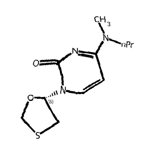 CCCN(C)c1ccn([C@@H]2CSCO2)c(=O)n1